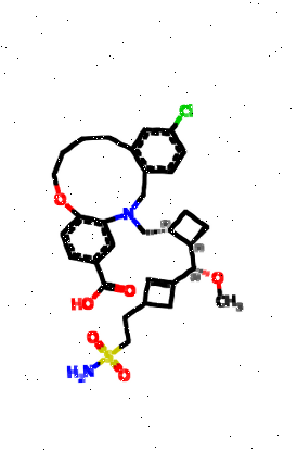 CO[C@H](C1=CC(CCS(N)(=O)=O)C1)[C@@H]1CC[C@H]1CN1Cc2ccc(Cl)cc2CCCCOc2ccc(C(=O)O)cc21